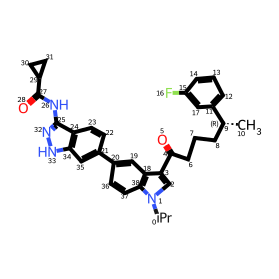 CC(C)n1cc(C(=O)CCC[C@@H](C)c2cccc(F)c2)c2cc(-c3ccc4c(NC(=O)C5CC5)n[nH]c4c3)ccc21